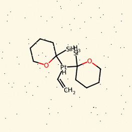 C=[CH][PtH]([C]1([SiH3])CCCCO1)[C]1([SiH3])CCCCO1